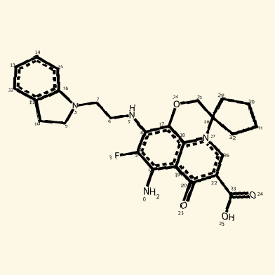 Nc1c(F)c(NCCN2CCc3ccccc32)c2c3c1c(=O)c(C(=O)O)cn3C1(CCCC1)CO2